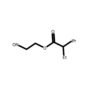 CCC(C(=O)OCCN=O)C(C)C